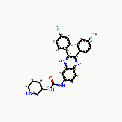 O=C(Nc1ccc2nc(-c3ccc(F)cc3)c(-c3ccc(F)cc3)nc2c1)NC1CCCNC1